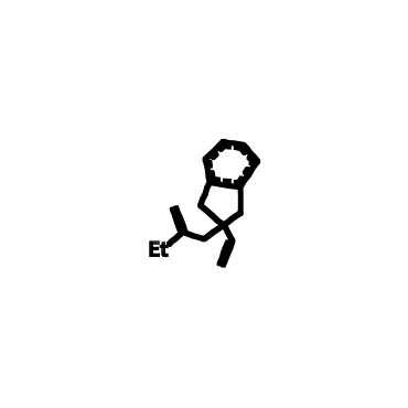 C=CC1(CC(=C)CC)Cc2ccccc2C1